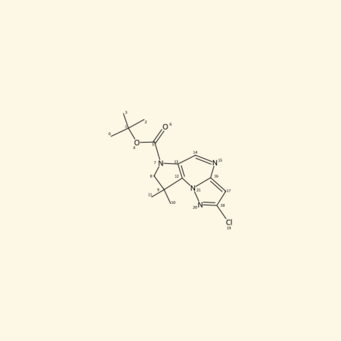 CC(C)(C)OC(=O)N1CC(C)(C)c2c1cnc1cc(Cl)nn21